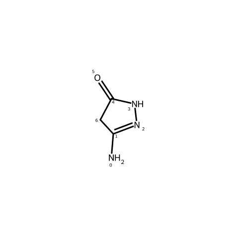 NC1=NNC(=O)C1